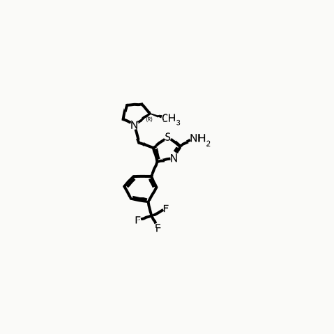 C[C@@H]1CCCN1Cc1sc(N)nc1-c1cccc(C(F)(F)F)c1